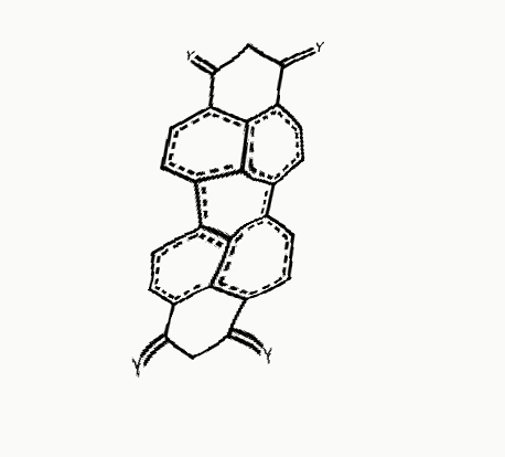 [Y]=[C]1C[C](=[Y])c2ccc3c4ccc5c6c(ccc(c7ccc1c2c73)c64)[C](=[Y])C[C]5=[Y]